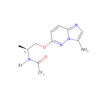 CCN(C(=O)C(F)(F)F)[C@@H](C)COc1ccc2ncc([N+](=O)[O-])n2n1